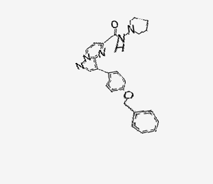 O=C(NN1CCCCC1)c1ccn2ncc(-c3ccc(OCc4ccccc4)cc3)c2n1